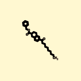 CCCCCCCCCC(=O)c1ccc2c(c1)CCC(C(=O)OCc1ccccc1)C2